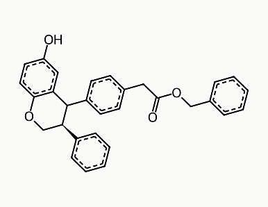 O=C(Cc1ccc(C2c3cc(O)ccc3OC[C@@H]2c2ccccc2)cc1)OCc1ccccc1